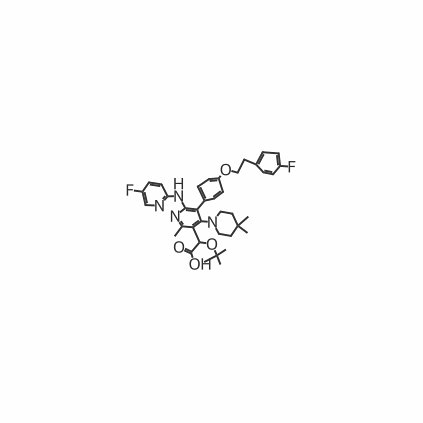 Cc1nc(Nc2ccc(F)cn2)c(-c2ccc(OCCc3ccc(F)cc3)cc2)c(N2CCC(C)(C)CC2)c1C(OC(C)(C)C)C(=O)O